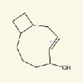 OC1/C=C/CC2CCC2CCC1